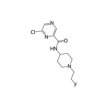 O=C(NC1CCN(CCF)CC1)c1cncc(Cl)n1